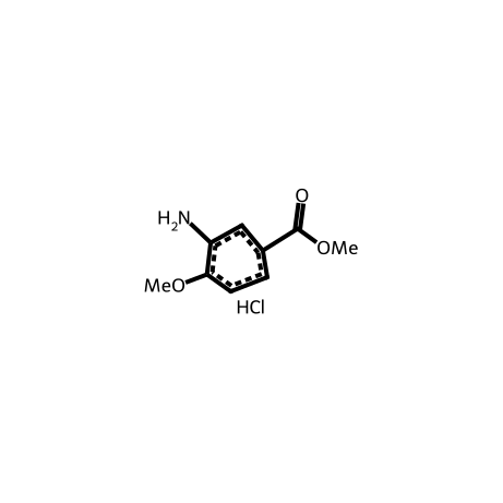 COC(=O)c1ccc(OC)c(N)c1.Cl